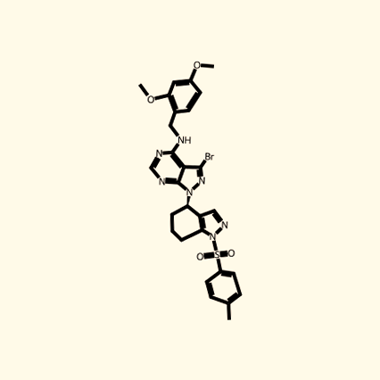 COc1ccc(CNc2ncnc3c2c(Br)nn3[C@@H]2CCCc3c2cnn3S(=O)(=O)c2ccc(C)cc2)c(OC)c1